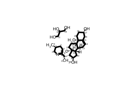 C[C@H]1CCC([C@@H](C)[C@H]2[C@H](O)C[C@H]3[C@@H]4CC=C5C[C@@H](O)CC[C@]5(C)[C@H]4CC[C@]23C)=NC1.OCC(O)CO